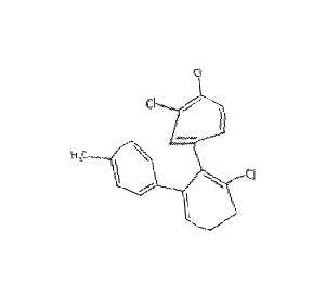 Cc1ccc(C2=CC[CH]C(Cl)=C2c2ccc(Cl)c(Cl)c2)cc1